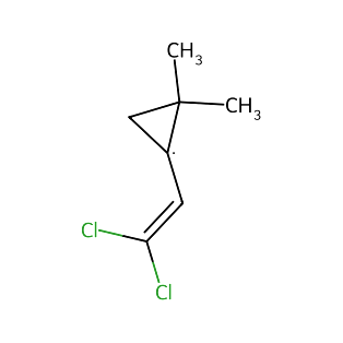 CC1(C)C[C]1C=C(Cl)Cl